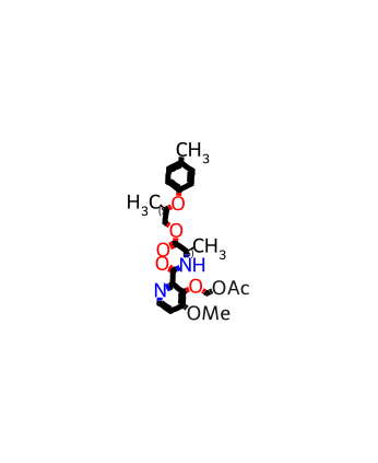 COc1ccnc(C(=O)N[C@@H](C)C(=O)OC[C@H](C)Oc2ccc(C)cc2)c1OCOC(C)=O